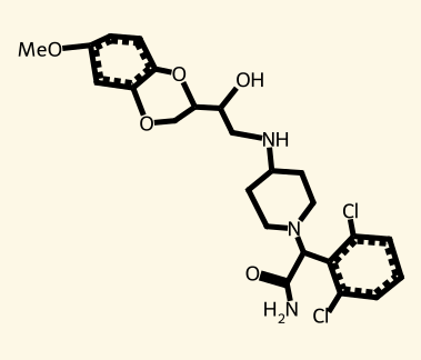 COc1ccc2c(c1)OCC(C(O)CNC1CCN(C(C(N)=O)c3c(Cl)cccc3Cl)CC1)O2